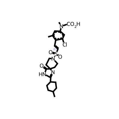 Cc1cc(N(C)C(=O)O)cc(Cl)c1/C=C/S(=O)(=O)N1CCC2(CC1)N=C(C1CCC(C)CC1)NC2=O